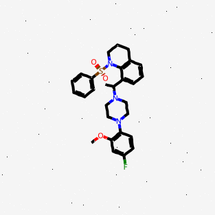 COc1cc(F)ccc1N1CCN(C(C)c2cccc3c2N(S(=O)(=O)c2ccccc2)CCC3)CC1